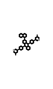 Cc1cncc(-c2ccc(-c3c4ccccc4c(-c4ccc(-c5cncc(C)c5)cc4)c4cc(-c5cccc6ccccc56)ccc34)cc2)c1